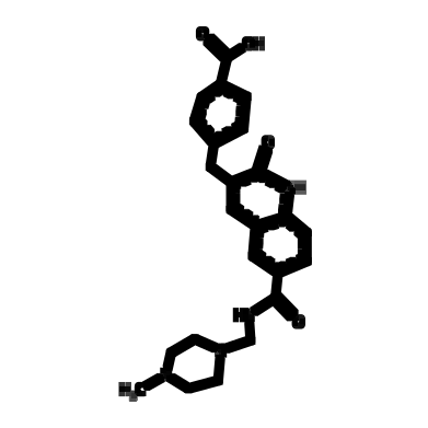 CN1CCN(CNC(=O)c2ccc3[nH]c(=O)c(Cc4ccc(C(=O)O)cc4)cc3c2)CC1